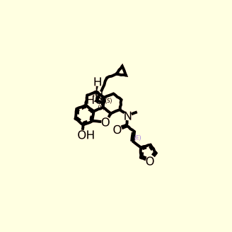 CN(C(=O)/C=C/c1ccoc1)C1CC[C@@]2(O)[C@H]3Cc4ccc(O)c5c4[C@@]2(CCN3CC2CC2)C1O5